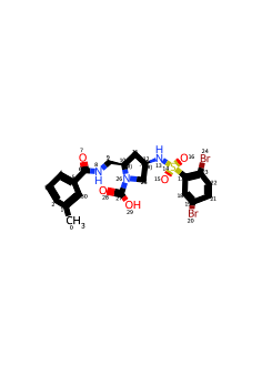 Cc1cccc(C(=O)NC[C@H]2C[C@@H](NS(=O)(=O)c3cc(Br)ccc3Br)CN2C(=O)O)c1